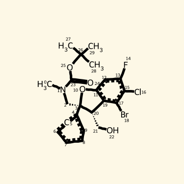 CN(C[C@]1(c2ccccc2)Oc2cc(F)c(Cl)c(Br)c2[C@@H]1CO)C(=O)OC(C)(C)C